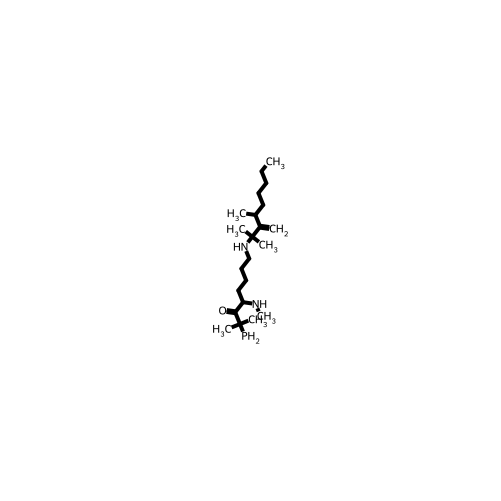 C=C(C(C)CCCCC)C(C)(C)NCCCCC(NC)C(=O)C(C)(C)P